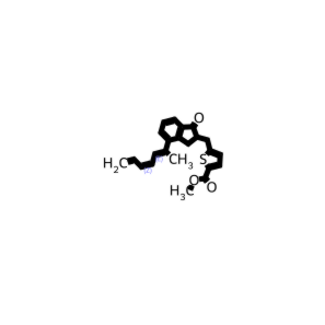 C=C/C=C\C=C(/C)c1cccc2c1CC(Cc1ccc(C(=O)OC)s1)C2=O